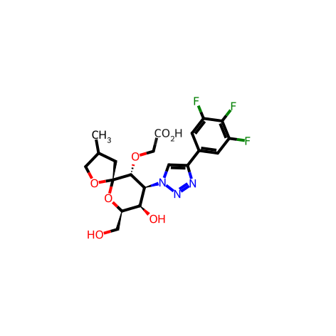 CC1CO[C@@]2(C1)O[C@H](CO)[C@H](O)[C@H](n1cc(-c3cc(F)c(F)c(F)c3)nn1)[C@H]2OCC(=O)O